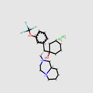 Cl.Cl.OC1([C@H](CN2CCN3CCCCC3C2)c2cccc(OC(F)(F)F)c2)CCCCC1